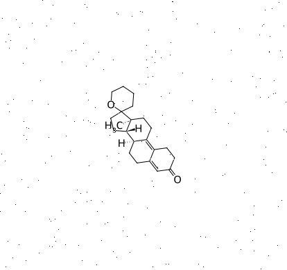 C[C@]12CCC3=C4CCC(=O)C=C4CC[C@H]3[C@@H]1CCC21CCCCO1